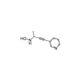 [CH2]C(C#Cc1cccnc1)NO